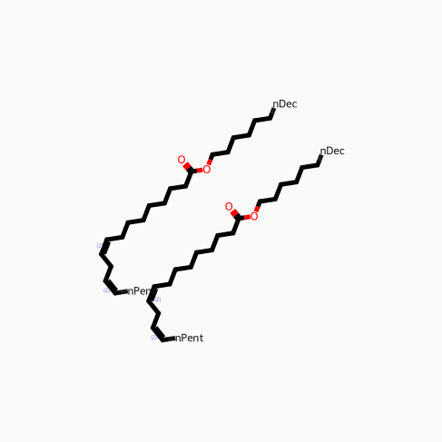 CCCCC/C=C\C/C=C\CCCCCCCC(=O)OCCCCCCCCCCCCCCCC.CCCCC/C=C\C/C=C\CCCCCCCC(=O)OCCCCCCCCCCCCCCCC